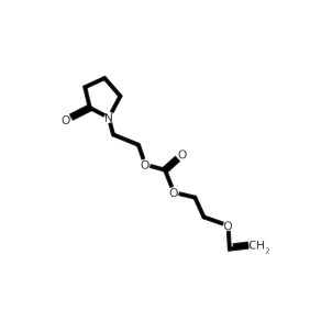 C=COCCOC(=O)OCCN1CCCC1=O